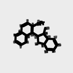 CCCc1ccc2ccccc2c1C1[C]C2C=CC=CC2C1C